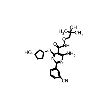 CC(C)(O)CONC(=O)c1c(N)nc(-c2cccc(C#N)c2)nc1O[C@H]1CC[C@H](O)C1